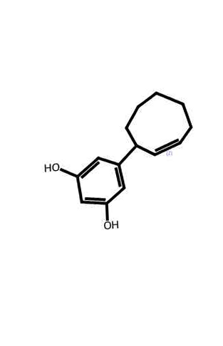 Oc1cc(O)cc(C2/C=C\CCCCC2)c1